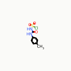 Cc1ccc(NC(=O)NS(=O)(=O)Cl)cc1